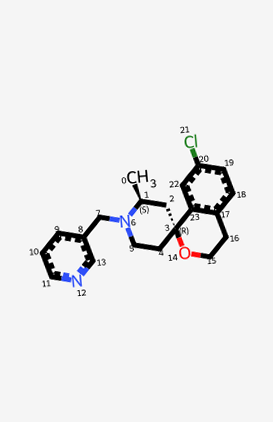 C[C@H]1C[C@@]2(CCN1Cc1cccnc1)OCCc1ccc(Cl)cc12